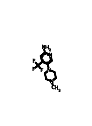 CN1CCN(c2cnc(N)cc2C(F)(F)F)CC1